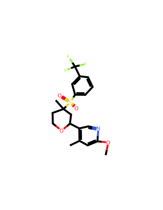 COc1cc(C)c(C2CC(C)(S(=O)(=O)c3cccc(C(F)(F)F)c3)CCO2)cn1